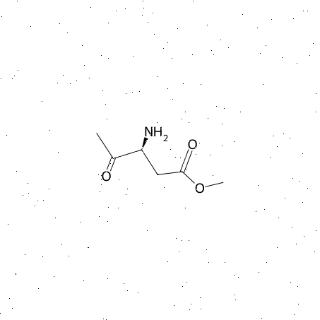 COC(=O)C[C@H](N)C(C)=O